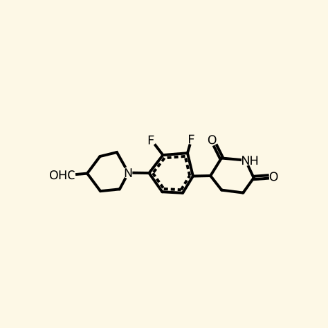 O=CC1CCN(c2ccc(C3CCC(=O)NC3=O)c(F)c2F)CC1